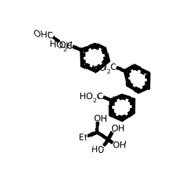 CCC(O)C(O)(O)O.O=C(O)c1ccccc1.O=C(O)c1ccccc1.O=C(O)c1ccccc1.O=CO